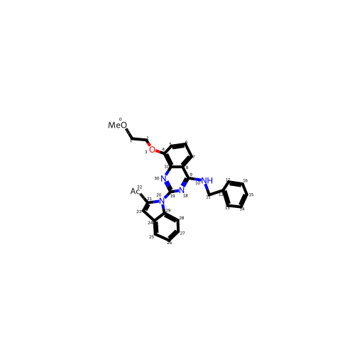 COCCOc1cccc2c(NCc3ccccc3)nc(-n3c(C(C)=O)cc4ccccc43)nc12